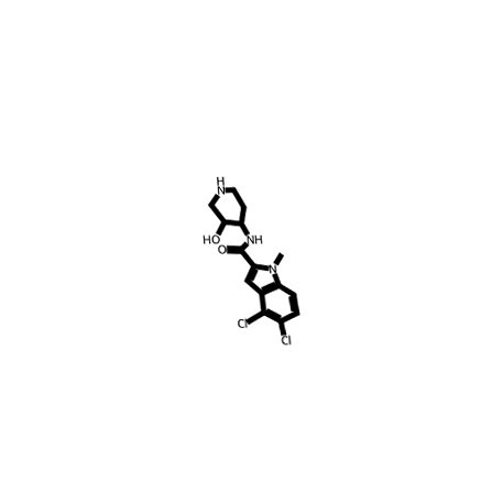 Cn1c(C(=O)NC2CCNCC2O)cc2c(Cl)c(Cl)ccc21